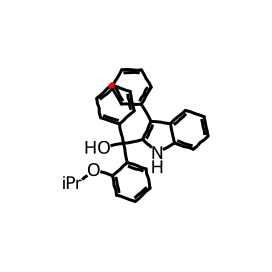 CC(C)Oc1ccccc1C(O)(c1ccccc1)c1[nH]c2ccccc2c1-c1ccccc1